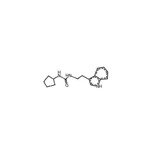 O=C(NCCc1c[nH]c2ccccc12)NC1CCCC1